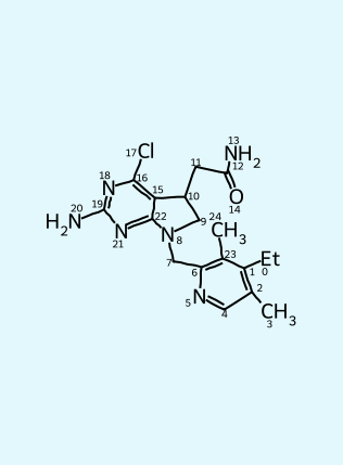 CCc1c(C)cnc(CN2CC(CC(N)=O)c3c(Cl)nc(N)nc32)c1C